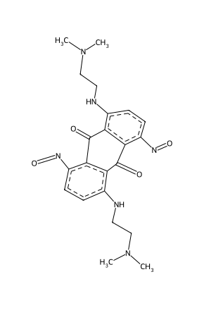 CN(C)CCNc1ccc(N=O)c2c1C(=O)c1c(N=O)ccc(NCCN(C)C)c1C2=O